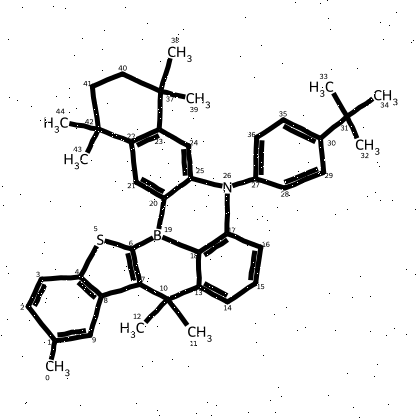 Cc1ccc2sc3c(c2c1)C(C)(C)c1cccc2c1B3c1cc3c(cc1N2c1ccc(C(C)(C)C)cc1)C(C)(C)CCC3(C)C